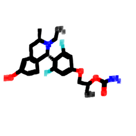 C[C@@H]1Cc2cc(O)ccc2[C@@H](c2c(F)cc(OCC(OC(N)=O)C(C)(C)C)cc2F)N1CC(F)(F)F